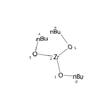 CCCC[O][Zr]([O]CCCC)[O]CCCC